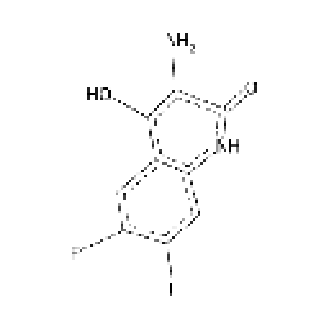 Nc1c(O)c2cc(F)c(F)cc2[nH]c1=O